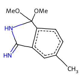 COC1(OC)NC(=N)c2cc(C)ccc21